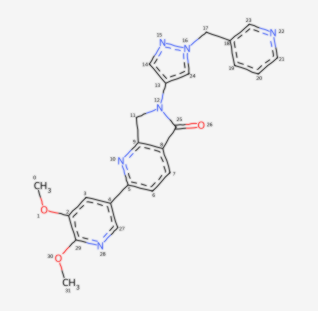 COc1cc(-c2ccc3c(n2)CN(c2cnn(Cc4cccnc4)c2)C3=O)cnc1OC